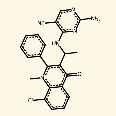 CC(Nc1nc(N)ncc1C#N)c1c(-c2ccccc2)n(C)c2c(Cl)cccc2c1=O